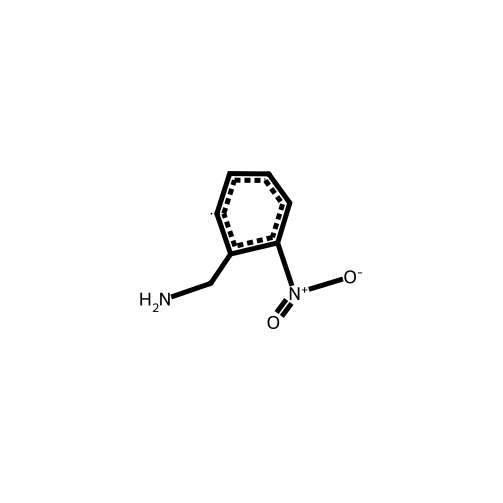 NCc1[c]cccc1[N+](=O)[O-]